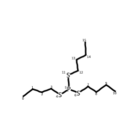 CCCCSP(SCCCC)SCCCC